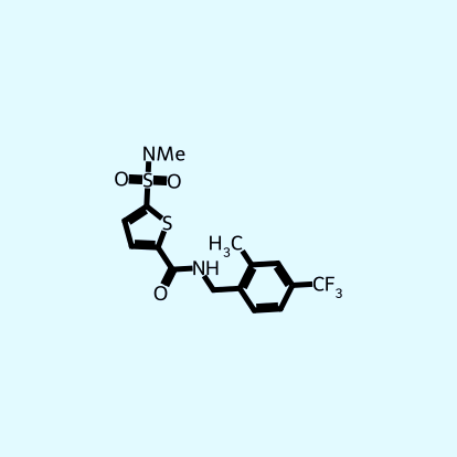 CNS(=O)(=O)c1ccc(C(=O)NCc2ccc(C(F)(F)F)cc2C)s1